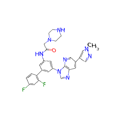 Cn1cc(-c2cnc3c(c2)ncn3-c2cc(NC(=O)CN3CCNCC3)cc(-c3ccc(F)cc3F)c2)cn1